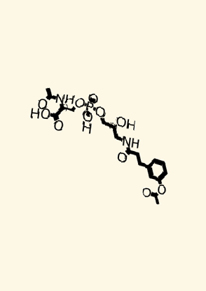 CC(=O)N[C@@H](COP(=O)(O)OC[C@H](O)CNC(=O)CCc1cccc(OC(C)=O)c1)C(=O)O